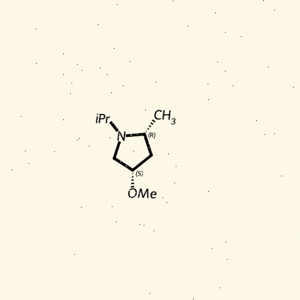 CO[C@H]1C[C@@H](C)N(C(C)C)C1